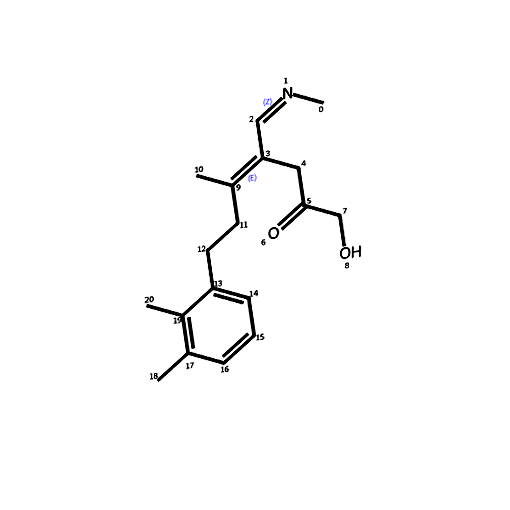 C/N=C\C(CC(=O)CO)=C(/C)CCc1cccc(C)c1C